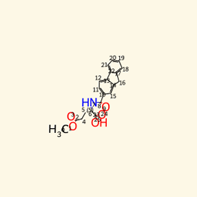 COC(=O)CC[C@H](NC(=O)c1ccc2c(c1)Cc1ccccc1-2)C(=O)O